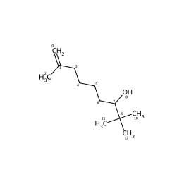 C=C(C)CCCCC(O)C(C)(C)C